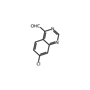 O=Cc1ncnc2cc(Cl)ccc12